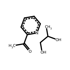 CC(=O)c1ccccn1.CC(O)CO